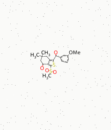 COc1cccc(C(=O)c2sc(S(C)(=O)=O)c3c2CC(C)(C)CC3=O)c1